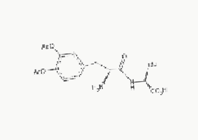 CC[C@H](C)[C@H](NC(=O)[C@@H](N)Cc1ccc(OC(C)=O)c(OC(C)=O)c1)C(=O)O